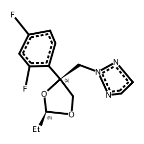 CC[C@@H]1OC[C@@](Cn2nccn2)(c2ccc(F)cc2F)O1